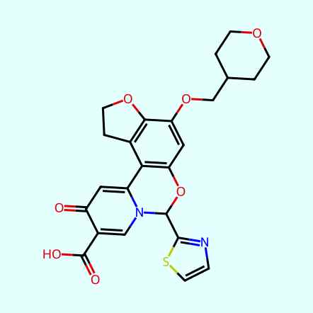 O=C(O)c1cn2c(cc1=O)-c1c(cc(OCC3CCOCC3)c3c1CCO3)OC2c1nccs1